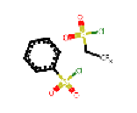 O=S(=O)(Cl)CC(F)(F)F.O=S(=O)(Cl)c1ccccc1